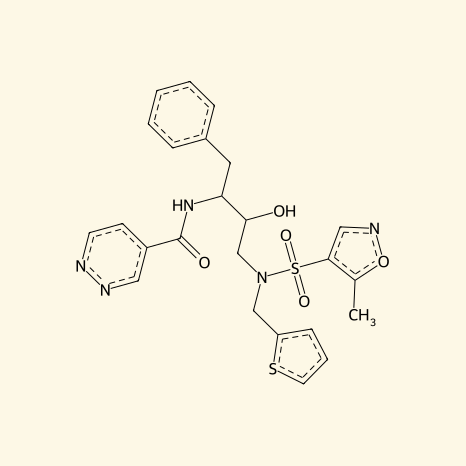 Cc1oncc1S(=O)(=O)N(Cc1cccs1)CC(O)C(Cc1ccccc1)NC(=O)c1ccnnc1